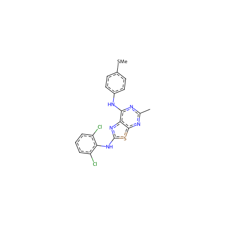 CSc1ccc(Nc2nc(C)nc3sc(Nc4c(Cl)cccc4Cl)nc23)cc1